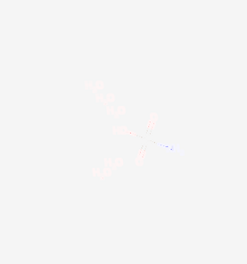 NS(=O)(=O)O.O.O.O.O.O